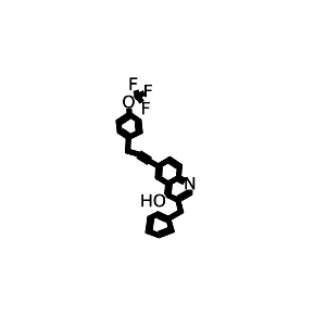 Oc1c(Cc2ccccc2)cnc2ccc(C#CCc3ccc(OC(F)(F)F)cc3)cc12